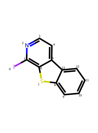 Ic1nccc2c1sc1ccccc12